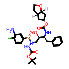 CC(C)(C)OC(=O)NN(C[C@@H](O)[C@H](Cc1ccccc1)NC(=O)O[C@@H]1C[C@@H]2CCO[C@@H]2C1)[S+]([O-])c1ccc(F)c(N)c1